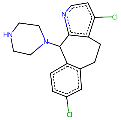 Clc1ccc2c(c1)CCc1c(Cl)ccnc1C2N1CCNCC1